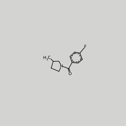 CC1CCN(C(=O)c2ccc(F)cc2)C1